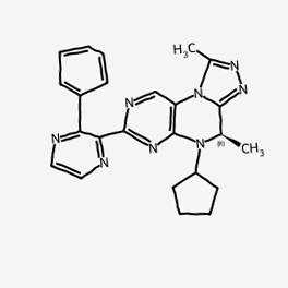 Cc1nnc2n1-c1cnc(-c3nccnc3-c3ccccc3)nc1N(C1CCCC1)[C@@H]2C